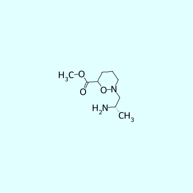 COC(=O)C1CCCN(C[C@H](C)N)O1